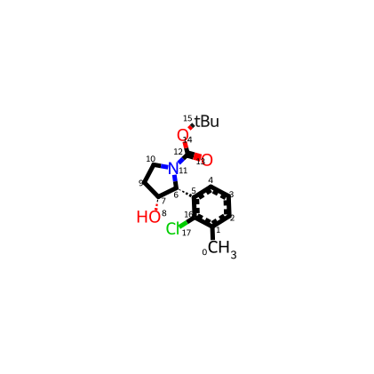 Cc1cccc([C@@H]2[C@H](O)CCN2C(=O)OC(C)(C)C)c1Cl